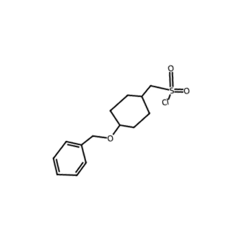 O=S(=O)(Cl)CC1CCC(OCc2ccccc2)CC1